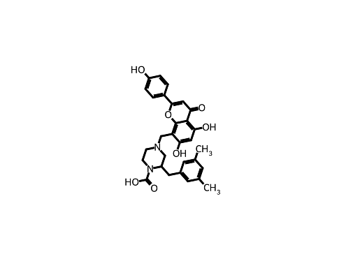 Cc1cc(C)cc(CC2CN(Cc3c(O)cc(O)c4c(=O)cc(-c5ccc(O)cc5)oc34)CCN2C(=O)O)c1